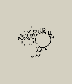 CC[C@@H]1C2CN(C(=O)[C@H](C(C)(C)C)NC(=O)O[C@@H]3C[C@H]3CCCCC(F)(F)c3nc4ccc(C#N)cc4nc3O2)[C@@H]1C(=O)N[C@]1(C(=O)NS(=O)(=O)C2(C)CC2)C[C@H]1C(F)F